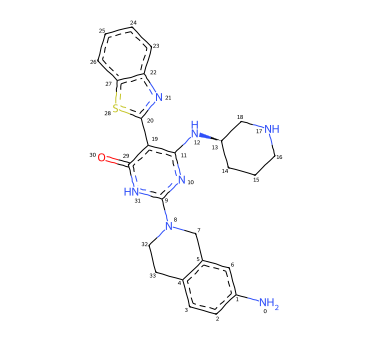 Nc1ccc2c(c1)CN(c1nc(N[C@@H]3CCCNC3)c(-c3nc4ccccc4s3)c(=O)[nH]1)CC2